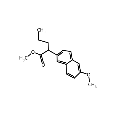 CCCC(C(=O)OC)c1ccc2cc(OC)ccc2c1